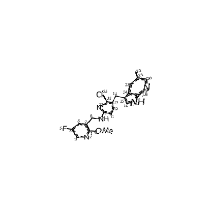 COc1ncc(F)cc1CNc1ccc(Cc2c[nH]c3ncc(C)cc23)c(Cl)n1